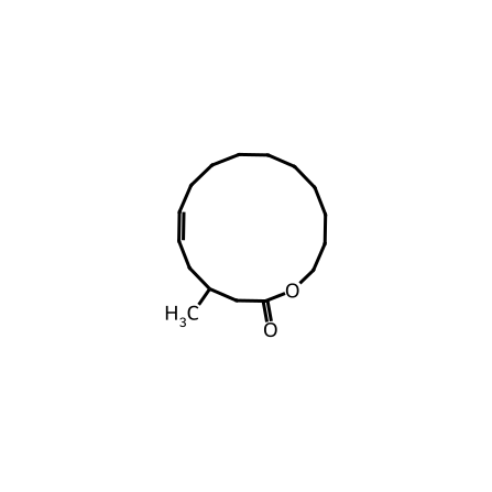 CC1C/C=C\CCCCCCCCCOC(=O)C1